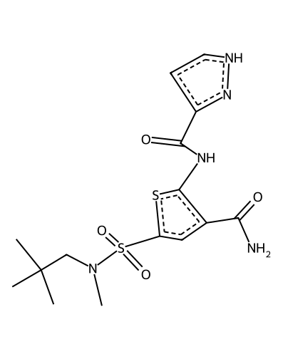 CN(CC(C)(C)C)S(=O)(=O)c1cc(C(N)=O)c(NC(=O)c2cc[nH]n2)s1